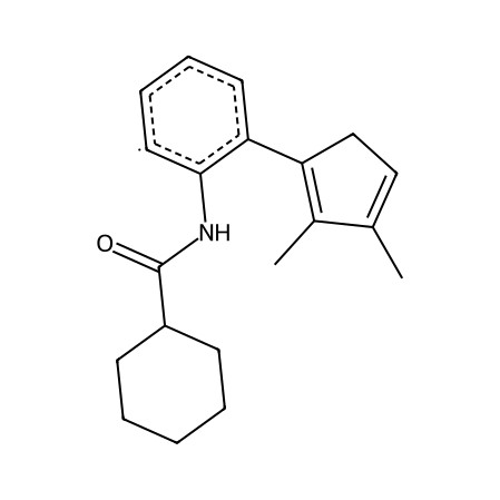 CC1=CCC(c2ccc[c]c2NC(=O)C2CCCCC2)=C1C